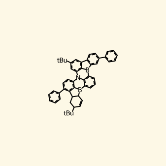 CC(C)(C)c1cc2c3c(c1)N1c4ccc(-c5ccccc5)c5c4B(c4cccc(c41)B3c1cc(-c3ccccc3)ccc1-2)C1C=CC(C(C)(C)C)CC51